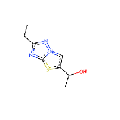 CCc1nc2sc(C(C)O)cn2n1